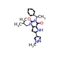 CC(C)Cn1c(=O)n(C(C)c2ccccc2)c(=O)c2[nH]c(-c3cnn(C)c3)cc21